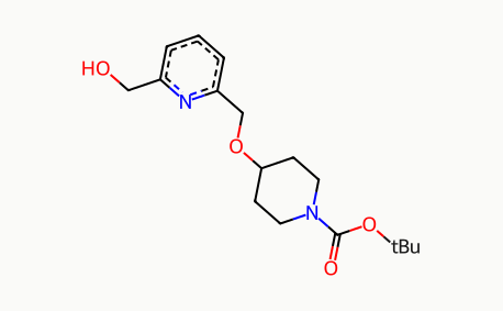 CC(C)(C)OC(=O)N1CCC(OCc2cccc(CO)n2)CC1